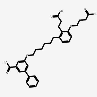 CC(=O)c1cc(OCCCCCCc2cccc(OCCCC(=O)O)c2CCC(=O)O)cc(-c2ccccc2)c1